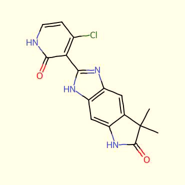 CC1(C)C(=O)Nc2cc3[nH]c(-c4c(Cl)cc[nH]c4=O)nc3cc21